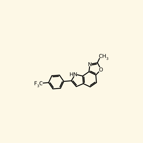 Cc1nc2c(ccc3cc(-c4ccc(C(F)(F)F)cc4)[nH]c32)o1